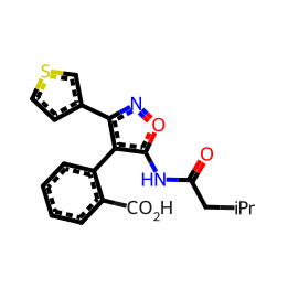 CC(C)CC(=O)Nc1onc(-c2ccsc2)c1-c1ccccc1C(=O)O